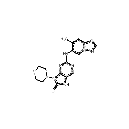 Cc1cc2ncnn2cc1Nc1ncc2[nH]c(=O)n(N3CCOCC3)c2n1